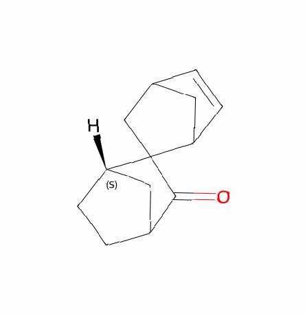 O=C1C2CC[C@@H](C2)C12CC1C=CC2C1